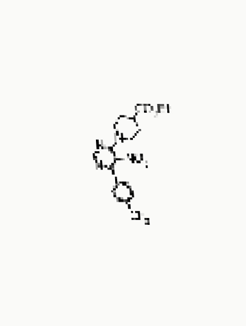 CCOC(=O)C1CCN(c2ncnc(-c3ccc(C(F)(F)F)cc3)c2[N+](=O)[O-])CC1